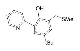 CSCc1cc(C(C)(C)C)cc(-c2ccccn2)c1O